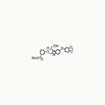 COC(=O)c1cccc(OCc2nc3ccc(Oc4ccc5c(c4)OCO5)cc3n2C)c1.Cl